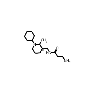 CC1[C@@H](CNC(=O)CCN)CCCN1C1CCCCC1